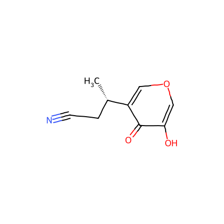 C[C@@H](CC#N)c1cocc(O)c1=O